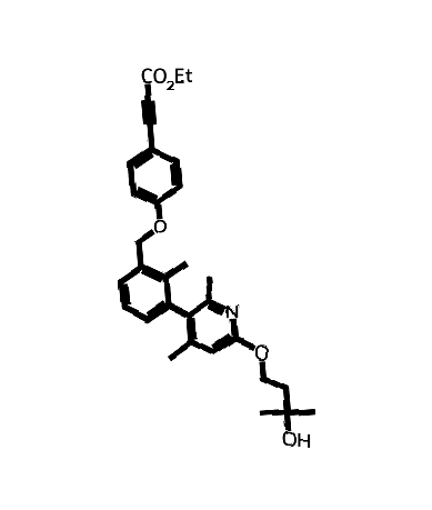 CCOC(=O)C#Cc1ccc(OCc2cccc(-c3c(C)cc(OCCC(C)(C)O)nc3C)c2C)cc1